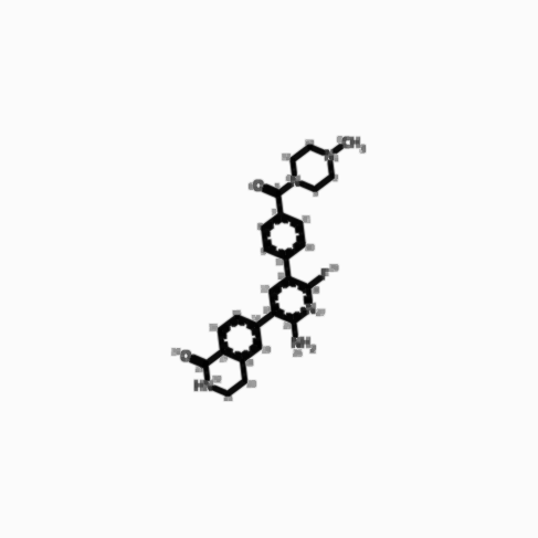 CN1CCN(C(=O)c2ccc(-c3cc(-c4ccc5c(c4)CCNC5=O)c(N)nc3F)cc2)CC1